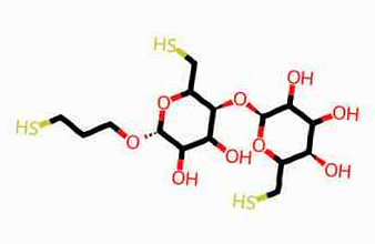 OC1C(O)[C@@H](O)C(CS)O[C@H]1O[C@@H]1C(CS)O[C@@H](OCCCS)C(O)C1O